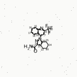 NC(=O)c1nn(-c2cc(C(F)(F)F)nc3ccccc23)c2c1C[C]CC2